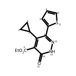 CCOC(=O)c1c(C2CC2)c(-c2cccs2)n[nH]c1=O